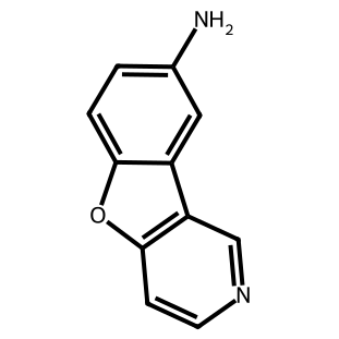 Nc1ccc2oc3ccncc3c2c1